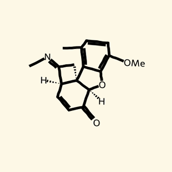 C/N=C1/C[C@]23c4c(C)ccc(OC)c4O[C@H]2C(=O)C=C[C@@H]13